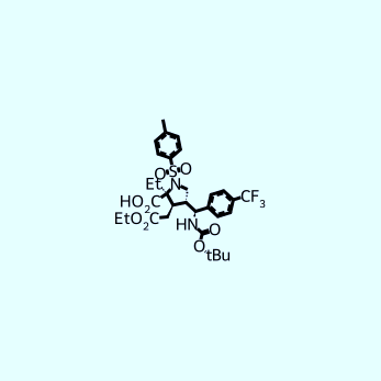 CCOC(=O)C[C@@H]1[C@@H]([C@@H](NC(=O)OC(C)(C)C)c2ccc(C(F)(F)F)cc2)CN(S(=O)(=O)c2ccc(C)cc2)[C@]1(CC)C(=O)O